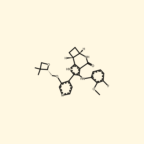 COc1c(F)cccc1Nc1c(-c2ccncc2OC[C@H]2OCC2(C)C)[nH]c2c1C(=O)N[C@H]1CC[C@@H]21